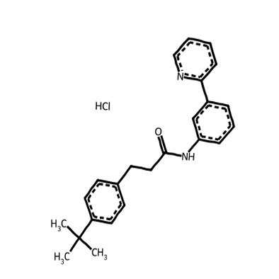 CC(C)(C)c1ccc(CCC(=O)Nc2cccc(-c3ccccn3)c2)cc1.Cl